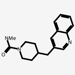 CNC(=O)N1CCC(Cc2cnc3ccccc3c2)CC1